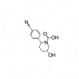 N#Cc1ccc(C2CCC(O)CN2C(=O)O)cc1